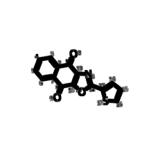 O=C1c2ccccc2C(=O)c2oc(-c3cccs3)nc21